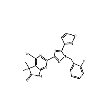 CC1(C)C(=O)Nc2nc(-c3cc(-c4ccon4)n(Cc4ccccc4F)n3)nc(Br)c21